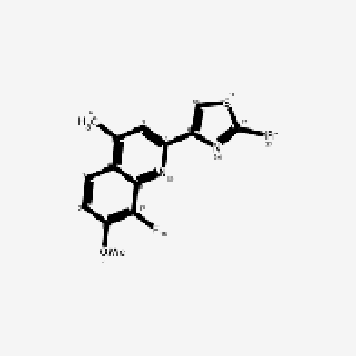 COc1ccc2c(C)cc(-c3csc(C(C)C)n3)nc2c1F